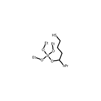 CCCC(CCCS)O[Si](OCC)(OCC)OCC